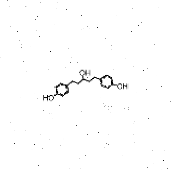 Oc1ccc(CCC(O)CCc2ccc(O)cc2)cc1